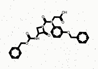 O=C(O)CN(C(=O)N1CC(NC(=O)OCc2ccccc2)C1=O)c1cccc(OCc2ccccc2)c1